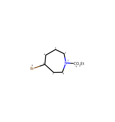 CCOC(=O)N1CCCC(Br)CC1